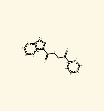 O=C(CCC(=O)c1n[nH]c2ccccc12)c1ccccn1